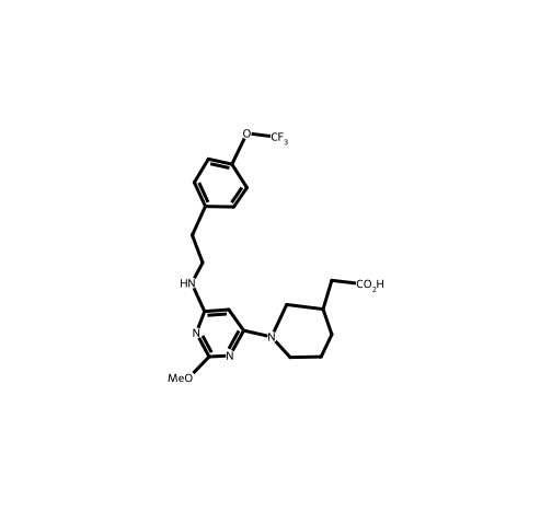 COc1nc(NCCc2ccc(OC(F)(F)F)cc2)cc(N2CCCC(CC(=O)O)C2)n1